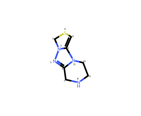 C1=C2N(CS1)N=C1CNCCN21